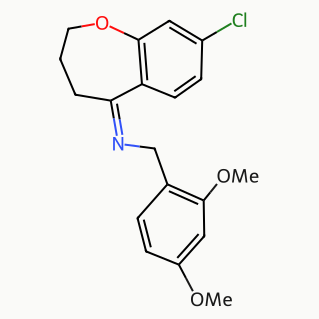 COc1ccc(C/N=C2/CCCOc3cc(Cl)ccc32)c(OC)c1